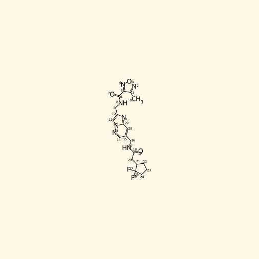 Cc1nonc1C(=O)NCc1cn2ncc(CNC(=O)CC3CCCC3(F)F)cc2n1